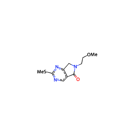 COCCN1Cc2nc(SC)ncc2C1=O